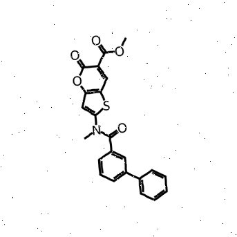 COC(=O)c1cc2sc(N(C)C(=O)c3cccc(-c4ccccc4)c3)cc2oc1=O